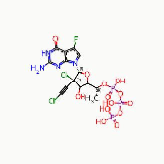 C[C@@H](OP(=O)(O)OP(=O)(O)OP(=O)(O)O)C1O[C@@H](n2cc(F)c3c(=O)[nH]c(N)nc32)[C@@](Cl)(C#CCl)C1O